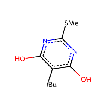 CCC(C)c1c(O)nc(SC)nc1O